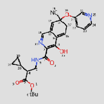 CC(C)(C)OC(=O)C(CNC(=O)c1ncc2c(c1O)=CCC(C#N)(Oc1cccnc1)C=2)C1CC1